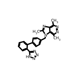 Cc1nnc(C)c2c1nc(C)n2Cc1ccc(-c2ccccc2-c2nnn[nH]2)cc1